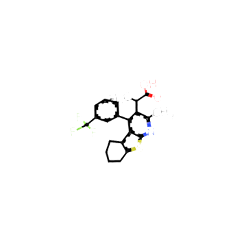 Cc1nc2sc3c(c2c(-c2cccc(C(F)(F)F)c2)c1C(C)C(=O)O)CCCC3